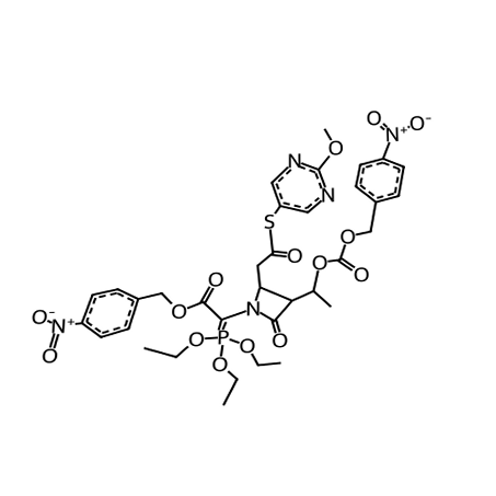 CCOP(OCC)(OCC)=C(C(=O)OCc1ccc([N+](=O)[O-])cc1)N1C(=O)C(C(C)OC(=O)OCc2ccc([N+](=O)[O-])cc2)C1CC(=O)Sc1cnc(OC)nc1